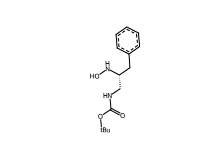 CC(C)(C)OC(=O)NC[C@@H](Cc1ccccc1)NO